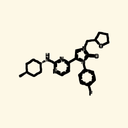 C[C@H]1CC[C@H](Nc2nccc(-c3cn(CC4CCCO4)c(=O)n3-c3ccc(F)cc3)n2)CC1